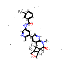 CCN1C(=O)[C@@H]2[C@H]3COC[C@H]3[C@@H]2c2cc(-c3cc(NC(=O)c4cccc(C(F)(F)F)c4)cnc3C)cnc21